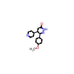 COc1ccc(-c2n[nH]c(=O)cc2-c2ccncc2)cc1